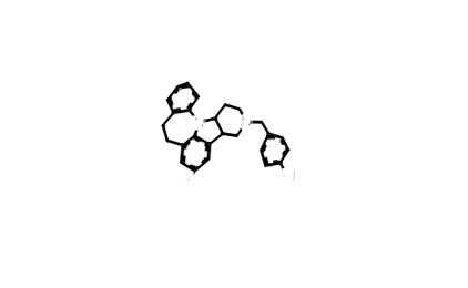 Cl.Clc1ccc(CN2CCC3C(C2)c2cccc4c2N3c2ccccc2CC4)cc1